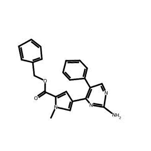 Cn1cc(-c2nc(N)ncc2-c2ccccc2)cc1C(=O)OCc1ccccc1